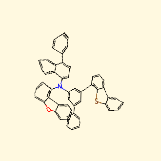 c1ccc(-c2cc(-c3cccc4c3sc3ccccc34)cc(N(c3ccc(-c4ccccc4)c4ccccc34)c3cccc4oc5ccccc5c34)c2)cc1